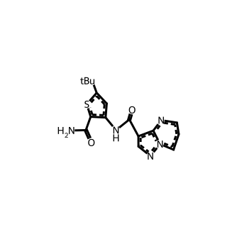 CC(C)(C)c1cc(NC(=O)c2cnn3cccnc23)c(C(N)=O)s1